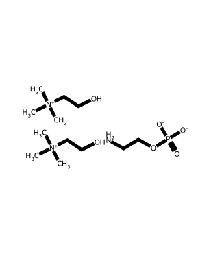 C[N+](C)(C)CCO.C[N+](C)(C)CCO.NCCOP(=O)([O-])[O-]